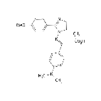 CC(=O)O.COc1ccc(-c2nccn2/N=C/c2ccc(N(C)C)cc2)cc1